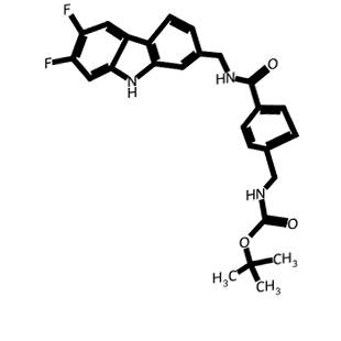 CC(C)(C)OC(=O)NCc1ccc(C(=O)NCc2ccc3c(c2)[nH]c2cc(F)c(F)cc23)cc1